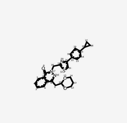 O=c1c2ccccc2c(CC2OCCCO2)nn1Cc1nc(-c2ccc(C3CC3)cc2)cs1